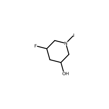 OC1CC(F)CN(I)C1